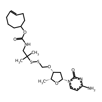 C[C@H]1O[C@@H](n2ccc(N)nc2=O)C[C@H]1OCSSC(C)(C)CNC(=O)OC1CC/C=C/CCC1